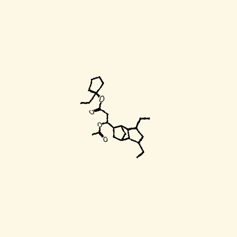 CCC1CC(CC)C2C3CC(CC3C(CC(=O)OC3(CC)CCCC3)OC(C)=O)C12